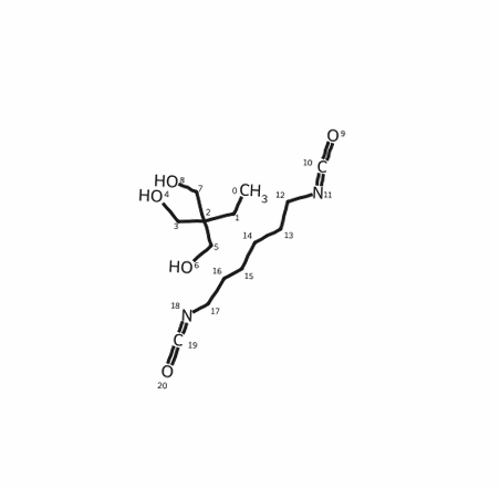 CCC(CO)(CO)CO.O=C=NCCCCCCN=C=O